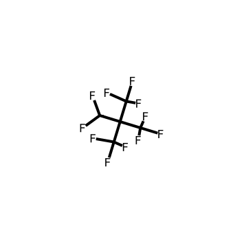 F[C](F)C(C(F)(F)F)(C(F)(F)F)C(F)(F)F